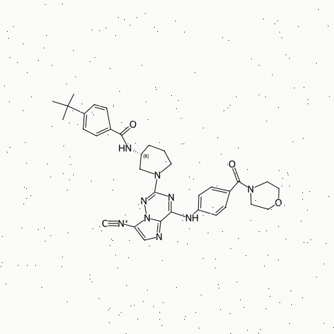 [C-]#[N+]c1cnc2c(Nc3ccc(C(=O)N4CCOCC4)cc3)nc(N3CCC[C@@H](NC(=O)c4ccc(C(C)(C)C)cc4)C3)nn12